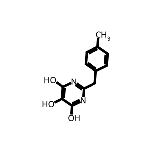 Cc1ccc(Cc2nc(O)c(O)c(O)n2)cc1